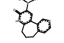 CCCN(CCC)c1cc2c([nH]c1=O)CCCc1ccncc1-2